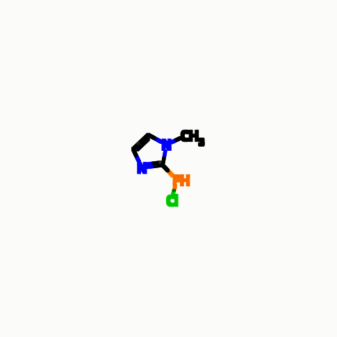 Cn1ccnc1PCl